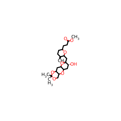 C=C1CCC(CCC(=O)OC)OC1CC1OC2CC3OC(C)(C)OCC3OC2C[C@H]1O